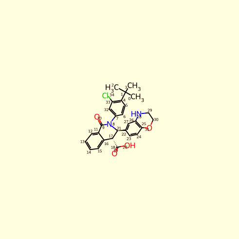 CC(C)(C)c1ccc(N2C(=O)c3ccccc3[C@@H](C(=O)O)[C@@H]2c2ccc3c(c2)NCCO3)cc1Cl